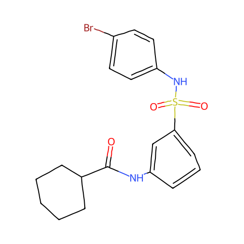 O=C(Nc1cccc(S(=O)(=O)Nc2ccc(Br)cc2)c1)C1CCCCC1